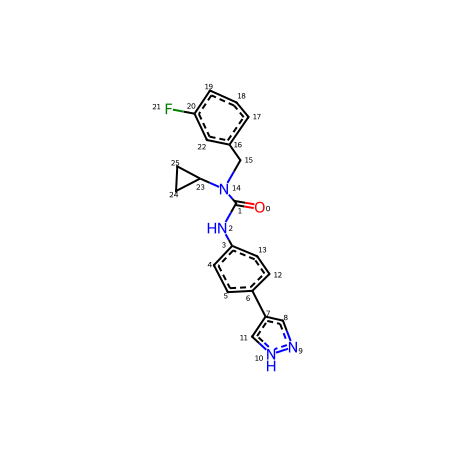 O=C(Nc1ccc(-c2cn[nH]c2)cc1)N(Cc1cccc(F)c1)C1CC1